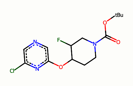 CC(C)(C)OC(=O)N1CCC(Oc2cncc(Cl)n2)C(F)C1